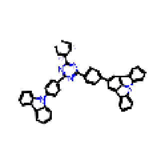 C/C=C\C(=C/C)c1nc(-c2ccc(-c3cc4c5ccccc5n5c6ccccc6c(c3)c45)cc2)nc(-c2ccc(-n3c4ccccc4c4ccccc43)cc2)n1